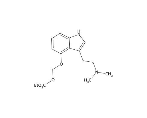 CCOC(=O)OCOc1cccc2[nH]cc(CCN(C)C)c12